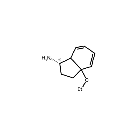 CCOC12C=CC=CC1[C@@H](N)CC2